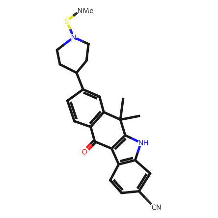 CNSN1CCC(c2ccc3c(c2)C(C)(C)c2[nH]c4cc(C#N)ccc4c2C3=O)CC1